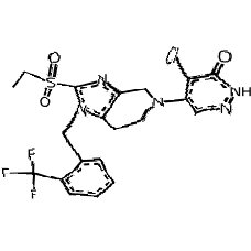 CCS(=O)(=O)c1nc2c(n1Cc1ccccc1C(F)(F)F)CCN(c1cn[nH]c(=O)c1Cl)C2